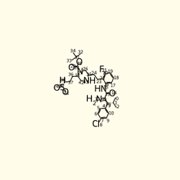 CC(C)[C@H](c1ccc(Cl)cc1)[C@H](N)C(=O)Nc1cccc(F)c1CCC1CN(C(=O)OC(C)(C)C)C(CCC[SH](=O)=O)CN1